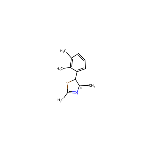 CC1=N[C@H](C)C(c2cccc(C)c2C)S1